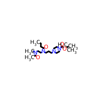 CCCC(=O)N(CCCN1CCN(C(=O)OC(C)(C)C)CC1)CCN(C)C(C)=O